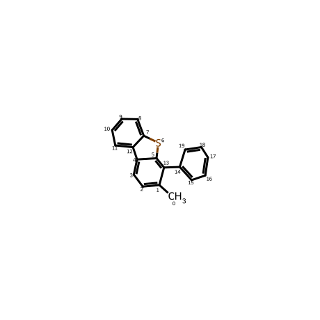 Cc1ccc2c(sc3ccccc32)c1-c1ccccc1